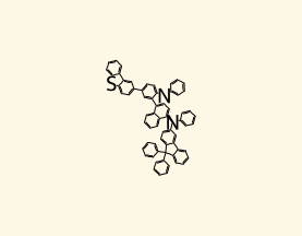 c1ccc(N(c2ccc3c(c2)-c2ccccc2C3(c2ccccc2)c2ccccc2)c2cc3c(c4ccccc24)c2cc(-c4ccc5sc6ccccc6c5c4)ccc2n3-c2ccccc2)cc1